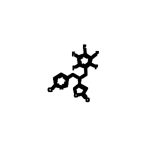 O=C1C=C(N(Cc2ccc(Cl)nc2)Cc2c(F)c(F)c(F)c(F)c2F)CO1